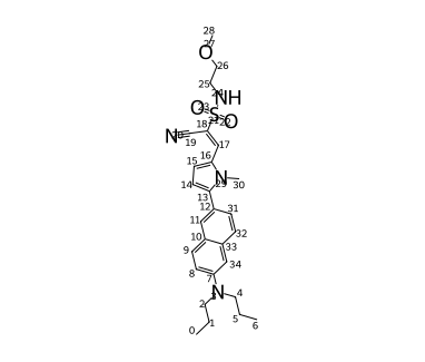 CCCN(CCC)c1ccc2cc(-c3ccc(/C=C(\C#N)S(=O)(=O)NCCOC)n3C)ccc2c1